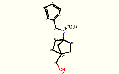 O=C(O)N(Cc1ccccc1)C12CCC(CO)(CC1)C2